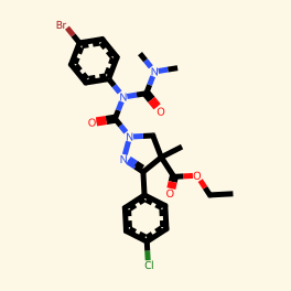 CCOC(=O)C1(C)CN(C(=O)N(C(=O)N(C)C)c2ccc(Br)cc2)N=C1c1ccc(Cl)cc1